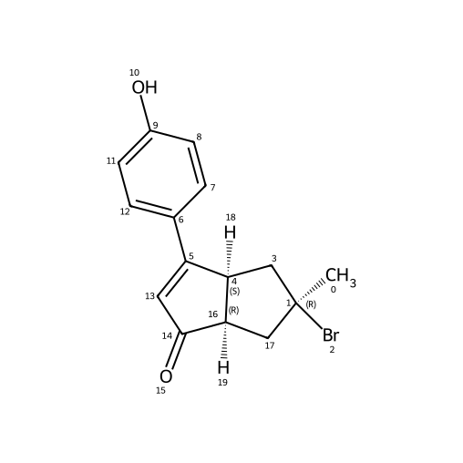 C[C@@]1(Br)C[C@@H]2C(c3ccc(O)cc3)=CC(=O)[C@@H]2C1